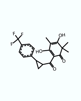 CC1=C(O)C(C)(C)C(=O)C(C(=O)C2CC2c2ccc(C(F)(F)F)cc2)=C1O